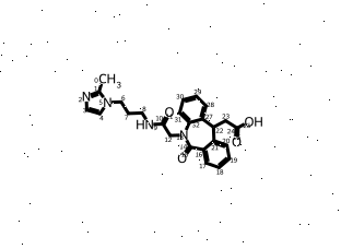 Cc1nccn1CCCNC(=O)CN1C(=O)c2ccccc2C(CC(=O)O)c2ccccc21